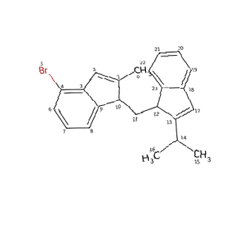 CC1=Cc2c(Br)cccc2C1CC1C(C(C)C)=Cc2ccccc21